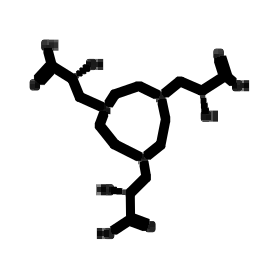 O=C(O)[C@H](O)CN1CCN(C[C@@H](O)C(=O)O)CCN(C[C@@H](O)C(=O)O)CC1